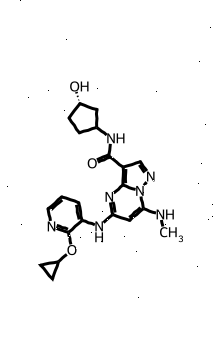 CNc1cc(Nc2cccnc2OC2CC2)nc2c(C(=O)NC3CC[C@H](O)C3)cnn12